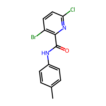 Cc1ccc(NC(=O)c2nc(Cl)ccc2Br)cc1